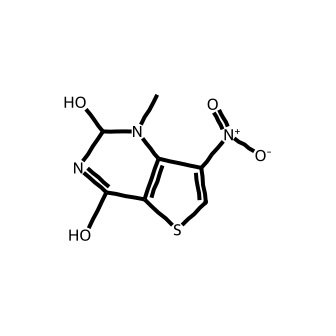 CN1c2c([N+](=O)[O-])csc2C(O)=NC1O